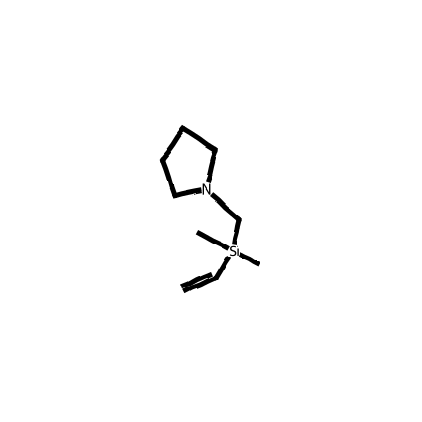 C=C[Si](C)(C)CN1CCCC1